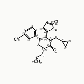 C=CC[C@@H]1C[C@H](c2cccc(Cl)c2)[C@@H](c2ccc(Cl)s2)N(CC2CC2)C1=O